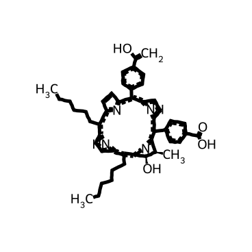 C=C(O)c1ccc(-c2c3nc(c(CCCCCC)c4ccc([nH]4)c(CCCCCC)c4nc(c(-c5ccc(C(=O)O)cc5)c5ccc2[nH]5)[C@@H](C)[C@H]4O)C=C3)cc1